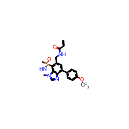 C=CC(=O)NCc1cc(-c2ccc(OC(F)(F)F)cc2)c2ncn(C)c2c1S(C)(=N)=O